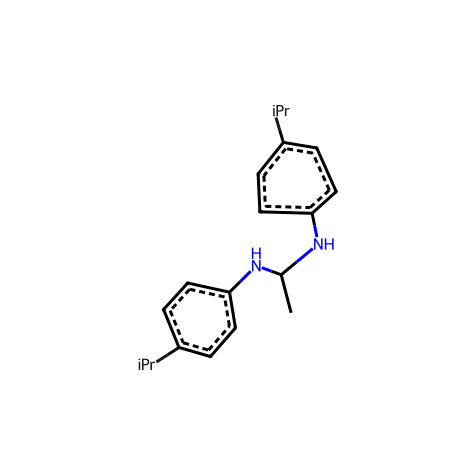 CC(Nc1ccc(C(C)C)cc1)Nc1ccc(C(C)C)cc1